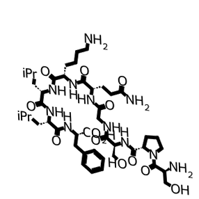 CC(C)C[C@H](NC(=O)[C@H](CC(C)C)NC(=O)[C@H](CCCCN)NC(=O)[C@H](CCC(N)=O)NC(=O)CNC(=O)[C@H](CO)NC(=O)[C@@H]1CCCN1C(=O)[C@@H](N)CO)C(=O)N[C@@H](Cc1ccccc1)C(=O)O